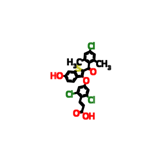 Cc1cc(Cl)cc(C)c1C(=O)c1sc2cc(O)ccc2c1Oc1cc(Cl)c(/C=C/C(=O)O)c(Cl)c1